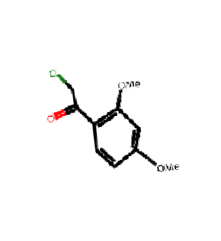 COc1ccc(C(=O)CCl)c(OC)c1